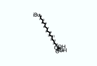 CCC(C)CCCCCCCCCCCCCCCOP(=O)(O)O